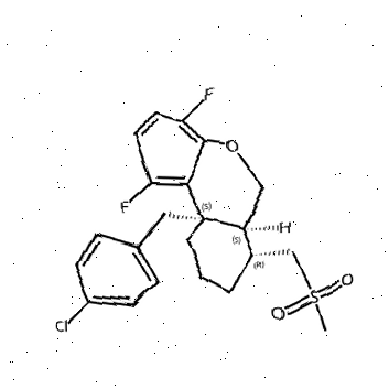 CS(=O)(=O)C[C@@H]1CCC[C@@]2(Cc3ccc(Cl)cc3)c3c(F)ccc(F)c3OC[C@@H]12